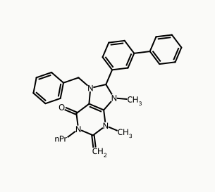 C=C1N(C)C2=C(C(=O)N1CCC)N(Cc1ccccc1)C(c1cccc(-c3ccccc3)c1)N2C